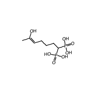 CC(O)=CCCCC(P(=O)(O)O)P(=O)(O)O